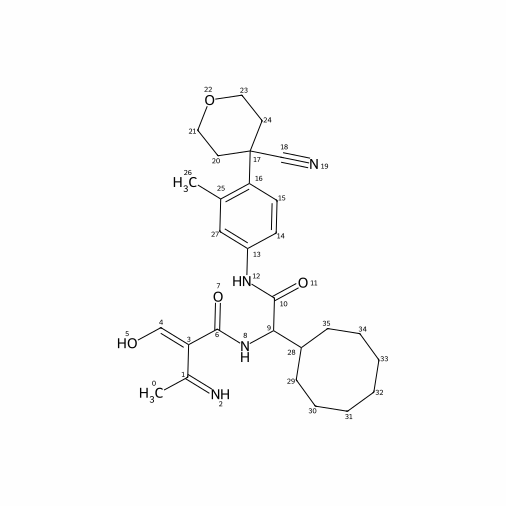 CC(=N)/C(=C\O)C(=O)NC(C(=O)Nc1ccc(C2(C#N)CCOCC2)c(C)c1)C1CCCCCCC1